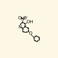 O=[N+]([O-])c1cnc2ccc(OCc3ccccc3)cc2c1O